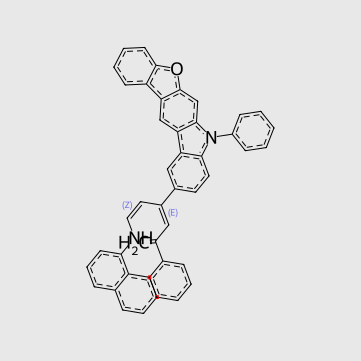 C=C(/C=C(\C=C/Nc1cccc2ccccc12)c1ccc2c(c1)c1cc3c(cc1n2-c1ccccc1)oc1ccccc13)c1ccccc1